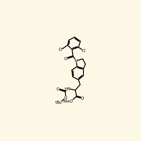 COC(=O)C(Cc1ccc2c(c1)CCN2C(=O)c1c(Cl)cccc1Cl)NC(=O)OC(C)(C)C